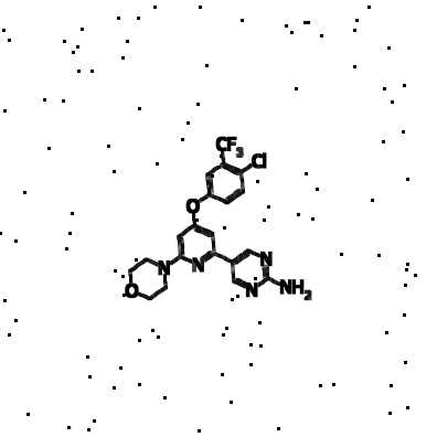 Nc1ncc(-c2cc(Oc3ccc(Cl)c(C(F)(F)F)c3)cc(N3CCOCC3)n2)cn1